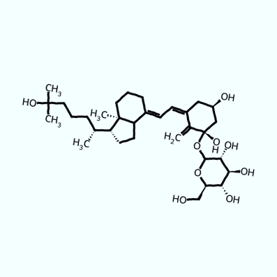 C=C1/C(=C\C=C2CCC[C@@]3(C)C2CC[C@@H]3[C@H](C)CCCC(C)(C)O)C[C@@H](O)C[C@]1(O)OC1O[C@H](CO)[C@@H](O)[C@H](O)[C@H]1O